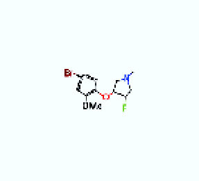 COc1cc(Br)ccc1OC1CN(C)CC1F